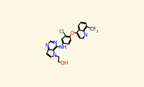 OCCn1ccc2ncnc(Nc3ccc(Oc4ccnc5c(C(F)(F)F)cccc45)c(Cl)c3)c21